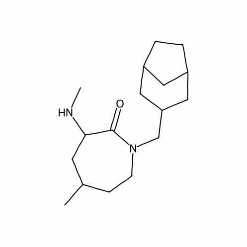 CNC1CC(C)CCN(CC2CC3CCC(C3)C2)C1=O